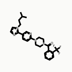 CC(C)CCn1ccnc1-c1ccc(N2CCN(C(=O)c3ccccc3C(F)(F)F)CC2)nc1